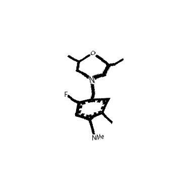 CNc1cc(F)c(N2CC(C)OC(C)C2)cc1C